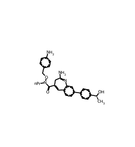 CCCN(OCc1ccc(N)cc1)C(=O)C1=Cc2ccc(-c3ccc([C@H](C)O)cc3)cc2N=C(N)C1